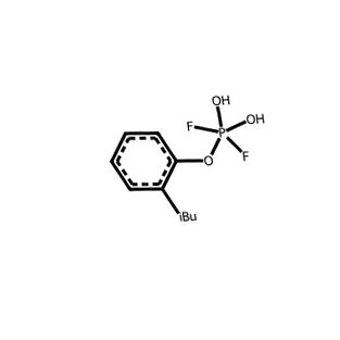 CCC(C)c1ccccc1OP(O)(O)(F)F